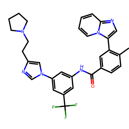 Cc1ccc(C(=O)Nc2cc(-n3cnc(CCN4CCCC4)c3)cc(C(F)(F)F)c2)cc1-c1cnc2ccccn12